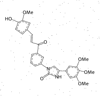 COc1cc(C=CC(=O)c2cccc(-n3cc(-c4cc(OC)c(OC)c(OC)c4)[nH]c3=O)c2)ccc1O